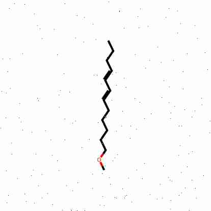 CCCC=CC=CCCCCCOC